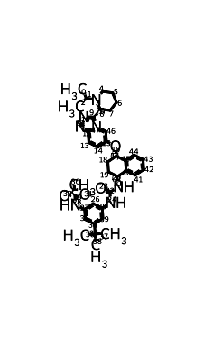 CC(C)N1CCCC[C@H]1c1nnc2ccc(O[C@@H]3CC[C@H](NC(=O)Nc4cc(NS(C)(=O)=O)cc(C(C)(C)C)c4)c4ccccc43)cn12